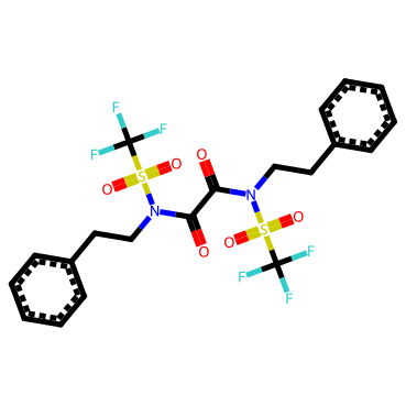 O=C(C(=O)N(CCc1ccccc1)S(=O)(=O)C(F)(F)F)N(CCc1ccccc1)S(=O)(=O)C(F)(F)F